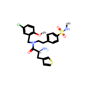 CCCNS(=O)(=O)c1ccc(CCN(Cc2cc(Cl)ccc2OCCC)C(=O)[C@@H](N)Cc2ccsc2)cc1